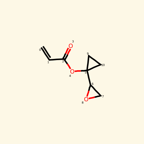 C=CC(=O)OC1(C2CO2)CC1